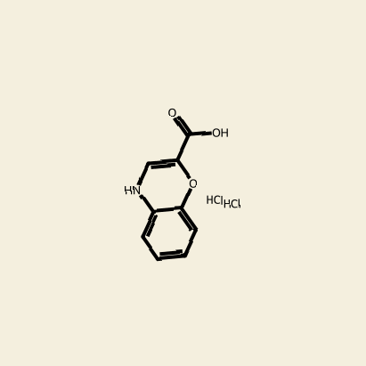 Cl.Cl.O=C(O)C1=CNc2ccccc2O1